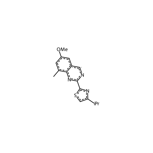 COc1cc(C)c2nc(-c3nc(C(C)C)cs3)n[c]c2c1